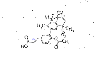 CC(=O)Oc1ccc(/C=C/C(=O)O)cc1-c1cc2c(cc1C)C(C)(C)C=CC2(C)C